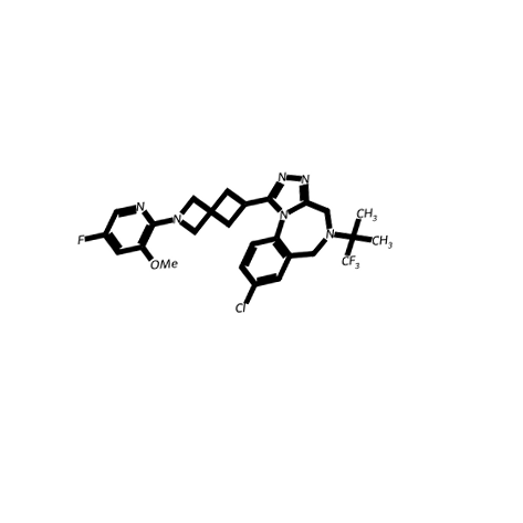 COc1cc(F)cnc1N1CC2(CC(c3nnc4n3-c3ccc(Cl)cc3CN(C(C)(C)C(F)(F)F)C4)C2)C1